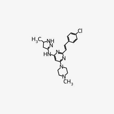 CC1CC(Nc2cc(N3CCN(C)CC3)nc(/C=C/c3ccc(Cl)cc3)n2)=NN1